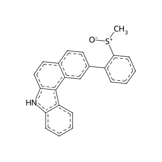 C[S+]([O-])c1ccccc1-c1ccc2ccc3[nH]c4ccccc4c3c2c1